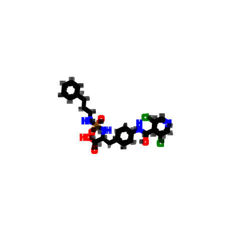 O=C(Nc1ccc(C[C@H](NS(=O)(=O)NCCCc2ccccc2)C(=O)O)cc1)c1c(Cl)cncc1Cl